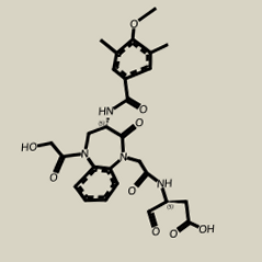 COc1c(C)cc(C(=O)N[C@H]2CN(C(=O)CO)c3ccccc3N(CC(=O)N[C@H](C=O)CC(=O)O)C2=O)cc1C